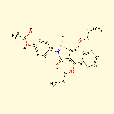 CCCOc1c2c(c(OCCC)c3ccccc13)C(=O)N(c1ccc(OC(C)=O)cc1)C2=O